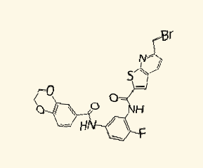 O=C(Nc1ccc(F)c(NC(=O)c2cc3ccc(CBr)nc3s2)c1)c1ccc2c(c1)OCCO2